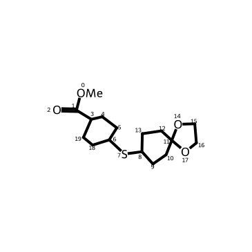 COC(=O)C1CCC(SC2CCC3(CC2)OCCO3)CC1